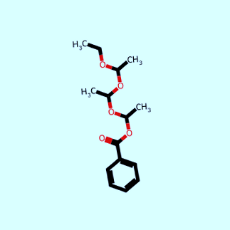 CCOC(C)OC(C)OC(C)OC(=O)c1ccccc1